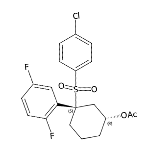 CC(=O)O[C@@H]1CCC[C@](c2cc(F)ccc2F)(S(=O)(=O)c2ccc(Cl)cc2)C1